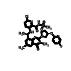 Cc1cc([C@@H](C)Nc2ccc(Cl)nc2C(=O)NS(C)(=O)=O)c2nc(N3CC[C@H](Oc4ccc(F)cn4)C3)n(C)c(=O)c2c1